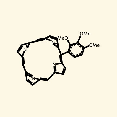 COc1ccc(C2=C3C=CC(=N3)C=C3C=CC(=N3)C=C3C=CC(=N3)C=C3C=CC2=N3)c(OC)c1OC